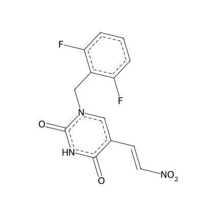 O=c1[nH]c(=O)n(Cc2c(F)cccc2F)cc1/C=C/[N+](=O)[O-]